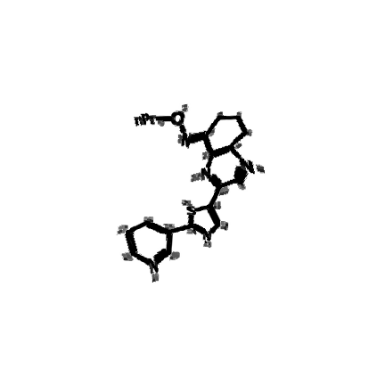 CCCO/N=C1\CCCc2ncc(-c3cnc(-c4cccnc4)s3)nc21